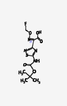 CC(C)(C)OC(=O)Nc1nc(/C(=N/OCF)C(=O)O)ns1